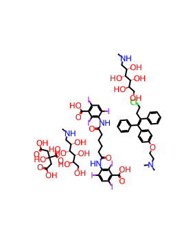 CN(C)CCOc1ccc(/C(=C(/CCCl)c2ccccc2)c2ccccc2)cc1.CNC[C@H](O)[C@@H](O)[C@H](O)[C@H](O)CO.CNC[C@H](O)[C@@H](O)[C@H](O)[C@H](O)CO.O=C(CCCCC(=O)Nc1c(I)cc(I)c(C(=O)O)c1I)Nc1c(I)cc(I)c(C(=O)O)c1I.O=C(O)CC(O)(CC(=O)O)C(=O)O